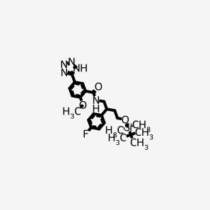 COc1ccc(-c2nnn[nH]2)cc1C(=O)NCC(CCO[Si](C)(C)C(C)(C)C)c1ccc(F)cc1